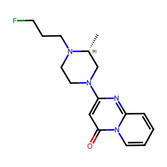 C[C@@H]1CN(c2cc(=O)n3ccccc3n2)CCN1CCCF